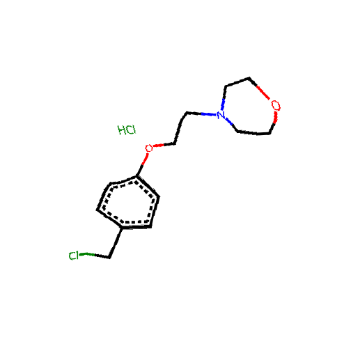 Cl.ClCc1ccc(OCCN2CCOCC2)cc1